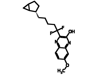 COc1ccc2nc(C(F)(F)CCCC[C@H]3CCC4CC43)c(O)nc2c1